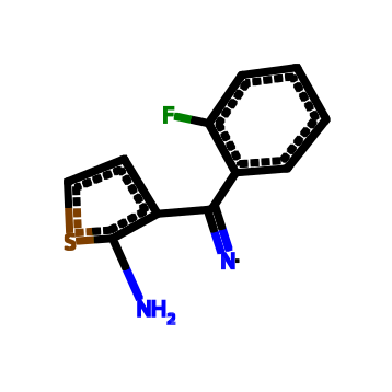 [N]=C(c1ccccc1F)c1ccsc1N